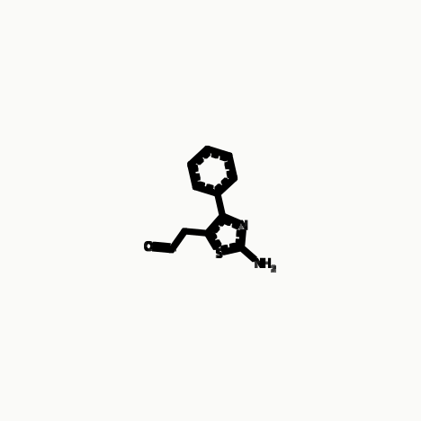 Nc1nc(-c2ccccc2)c(C[C]=O)s1